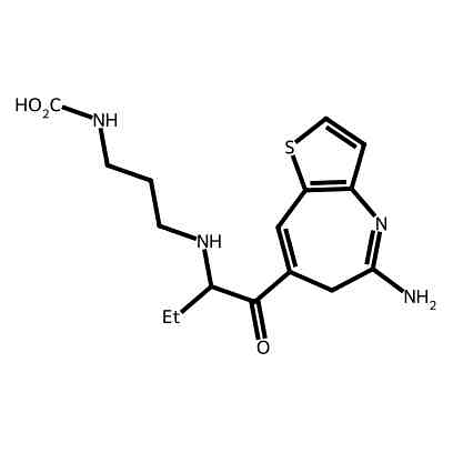 CCC(NCCCNC(=O)O)C(=O)C1=Cc2sccc2N=C(N)C1